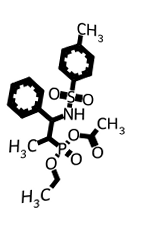 CCOP(=O)(OC(C)=O)C(C)C(NS(=O)(=O)c1ccc(C)cc1)c1ccccc1